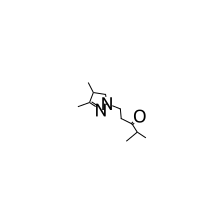 CC1=NN(CCC(=O)C(C)C)CC1C